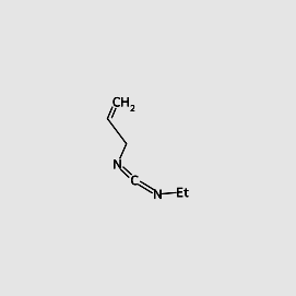 C=CCN=C=NCC